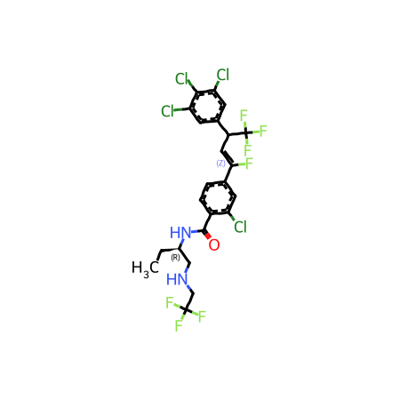 CC[C@H](CNCC(F)(F)F)NC(=O)c1ccc(/C(F)=C/C(c2cc(Cl)c(Cl)c(Cl)c2)C(F)(F)F)cc1Cl